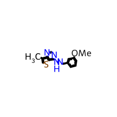 COc1cccc(C=NNc2ncnc3c(C)csc23)c1